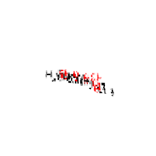 C=C(C)C(=O)OCOc1ccc(C=CC(=O)Oc2ccc3c(c2)C(C)c2cc(OC(=O)C=Cc4ccc(OCOC(=O)C(=C)C)c(OC)c4)ccc2-3)cc1CO